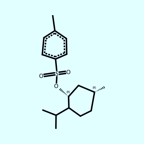 Cc1ccc(S(=O)(=O)O[C@@H]2C[C@H](C)CCC2C(C)C)cc1